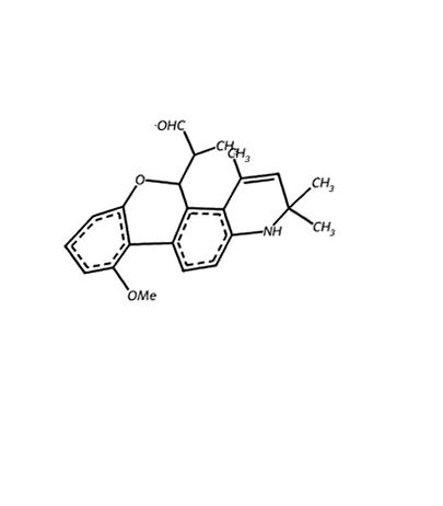 COc1cccc2c1-c1ccc3c(c1C(C(C)[C]=O)O2)C(C)=CC(C)(C)N3